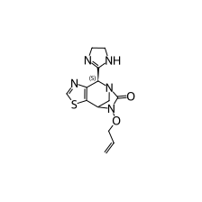 C=CCON1C(=O)N2CC1c1scnc1[C@H]2C1=NCCN1